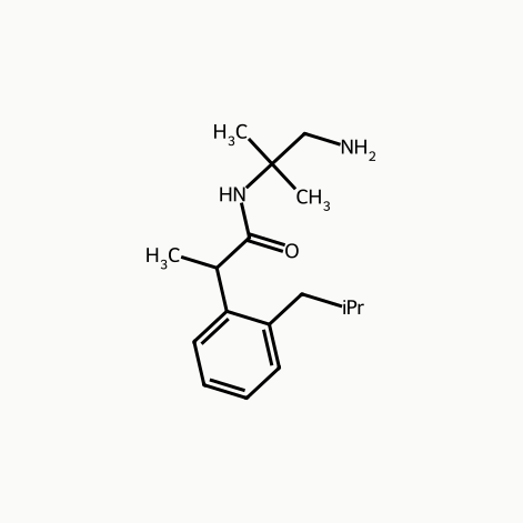 CC(C)Cc1ccccc1C(C)C(=O)NC(C)(C)CN